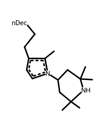 CCCCCCCCCCCCc1ccn(C2CC(C)(C)NC(C)(C)C2)c1C